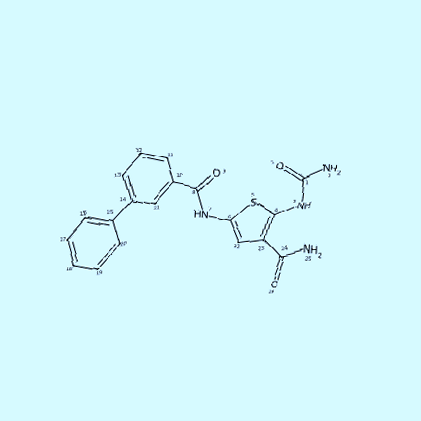 NC(=O)Nc1sc(NC(=O)c2cccc(-c3ccccc3)c2)cc1C(N)=O